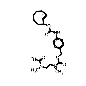 [2H]C(=O)N(C)CCN(C)C(=O)OCc1ccc(NC(=O)OC2/C=C/CCCCC2)cc1